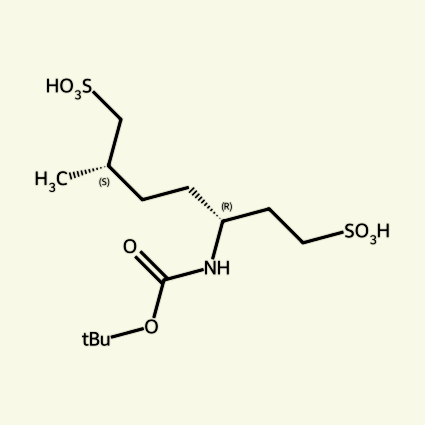 C[C@@H](CC[C@H](CCS(=O)(=O)O)NC(=O)OC(C)(C)C)CS(=O)(=O)O